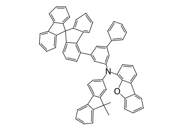 CC1(C)c2ccccc2-c2ccc(N(c3cc(-c4ccccc4)cc(-c4cccc5c4-c4ccccc4C54c5ccccc5-c5ccccc54)c3)c3cccc4c3oc3ccccc34)cc21